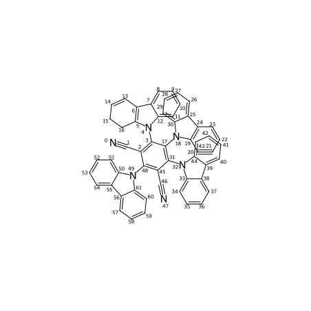 N#Cc1c(-n2c3c(c4ccccc42)C=CCC3)c(-n2c3c#cccc3c3ccccc32)c(-n2c3ccccc3c3ccccc32)c(C#N)c1-n1c2ccccc2c2ccccc21